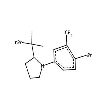 CCCC(C)(C)C1CCCN1c1ccc(C(C)C)c(C(F)(F)F)c1